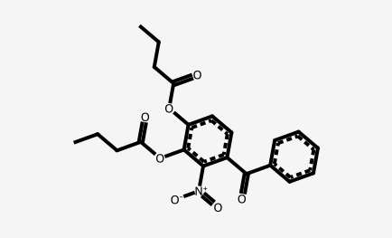 CCCC(=O)Oc1ccc(C(=O)c2ccccc2)c([N+](=O)[O-])c1OC(=O)CCC